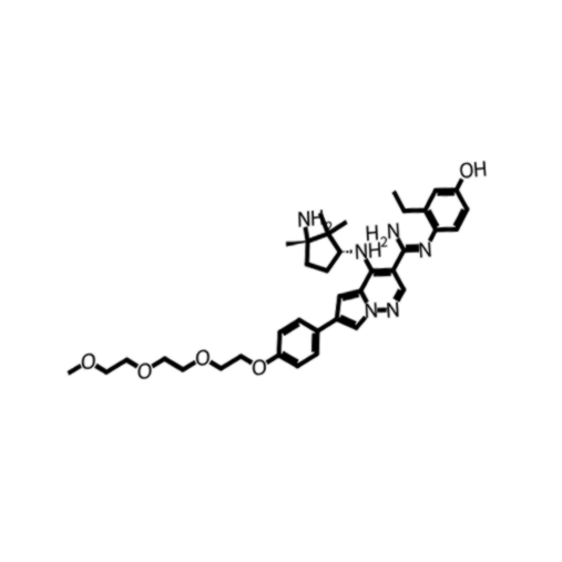 CCc1cc(O)ccc1/N=C(\N)c1cnn2cc(-c3ccc(OCCOCCOCCOC)cc3)cc2c1N[C@@H]1CC[C@](C)(N)C1(C)C